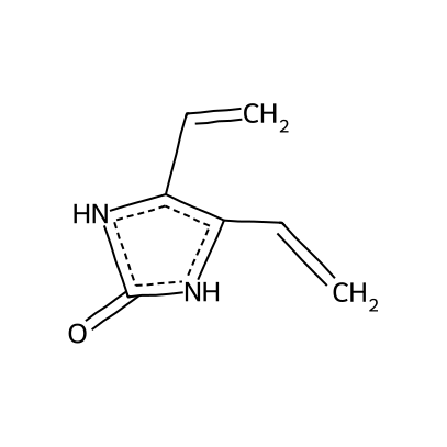 C=Cc1[nH]c(=O)[nH]c1C=C